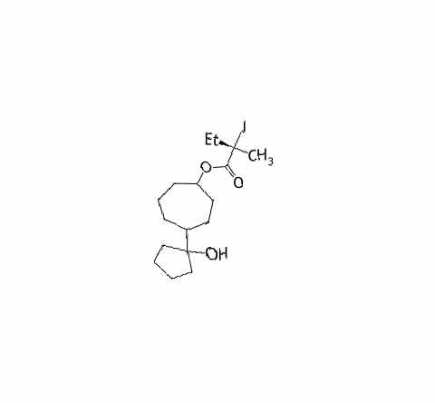 CC[C@](C)(I)C(=O)OC1CCCC(C2(O)CCCC2)CC1